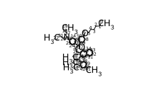 CCCCCCOc1ccc(C2(c3ccc(N(CCC)CCC)cc3)C=Cc3c4c(c5ccccc5c3O2)-c2cc(C)cc(C)c2C4(C)C)cc1